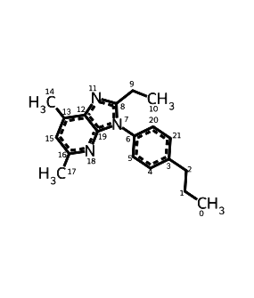 CCCc1ccc(-n2c(CC)nc3c(C)cc(C)nc32)cc1